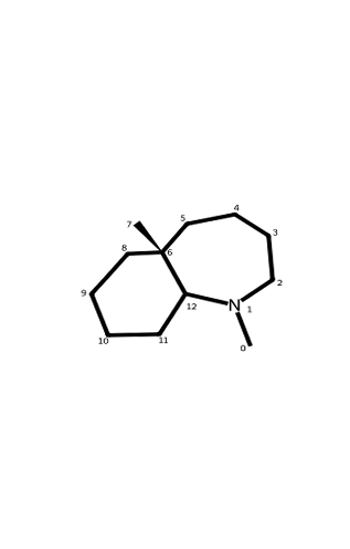 CN1CCCC[C@@]2(C)CCCCC12